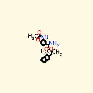 CC1Oc2ccc(C(N)C(=O)OC(C)(C)CC3Cc4ccccc4C3)cc2NC1=O